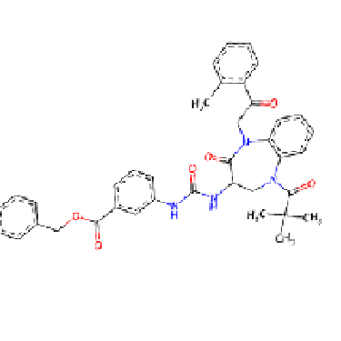 Cc1ccccc1C(=O)CN1C(=O)C(NC(=O)Nc2cccc(C(=O)OCc3ccccc3)c2)CN(C(=O)C(C)(C)C)c2ccccc21